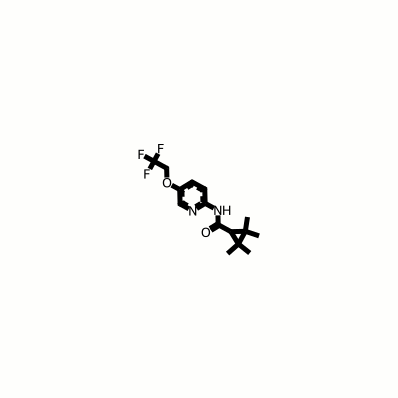 CC1(C)C(C(=O)Nc2ccc(OCC(F)(F)F)cn2)C1(C)C